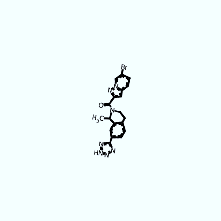 CC1c2cc(-c3nn[nH]n3)ccc2CCN1C(=O)c1cc2ccc(Br)cn2n1